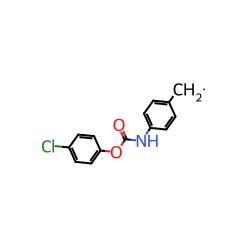 [CH2]c1ccc(NC(=O)Oc2ccc(Cl)cc2)cc1